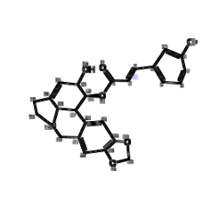 O=C(/C=C/c1cccc(Cl)c1)O[C@@H]1C(O)C=C2CCN3Cc4cc5c(cc4C1C23)OCO5